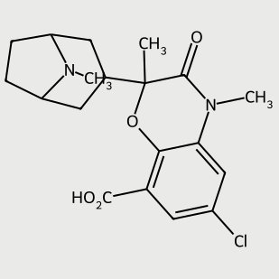 CN1C(=O)C(C)(C2CC3CCC(C2)N3C)Oc2c(C(=O)O)cc(Cl)cc21